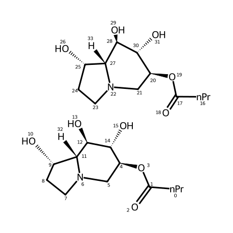 CCCC(=O)O[C@H]1CN2CC[C@H](O)[C@@H]2[C@@H](O)[C@@H]1O.CCCC(=O)O[C@H]1CN2CC[C@H](O)[C@@H]2[C@@H](O)[C@@H]1O